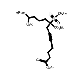 CCCCCC(CCCC(CC#CCCCC(=O)OC)(C(=O)OCC)S(=O)(=O)OC)OC(C)=O